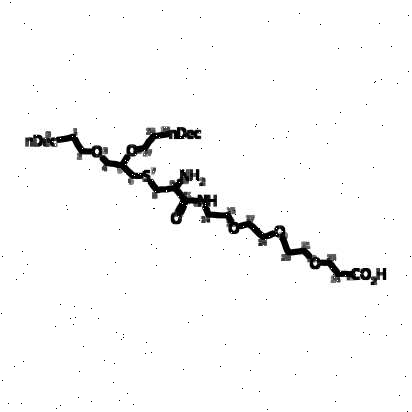 CCCCCCCCCCCCOCC(CSCC(N)C(=O)NCCOCCOCCOCCC(=O)O)OCCCCCCCCCCCC